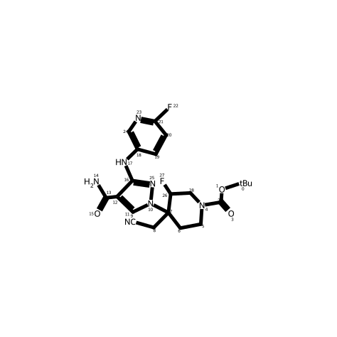 CC(C)(C)OC(=O)N1CCC(CC#N)(n2cc(C(N)=O)c(Nc3ccc(F)nc3)n2)C(F)C1